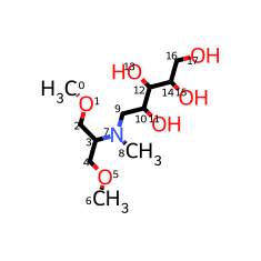 COCC(COC)N(C)CC(O)C(O)C(O)CO